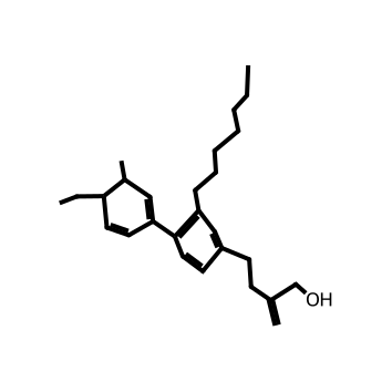 C=C(CO)CCc1ccc(C2=CC(C)C(CC)C=C2)c(CCCCCCC)c1